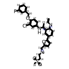 C=C/N=C1/C=CC(c2ccc(/C=N/CCS(C)(=O)=O)o2)=C/C1=C(/C)Nc1ccc(OCc2cccc(F)c2)c(Cl)c1